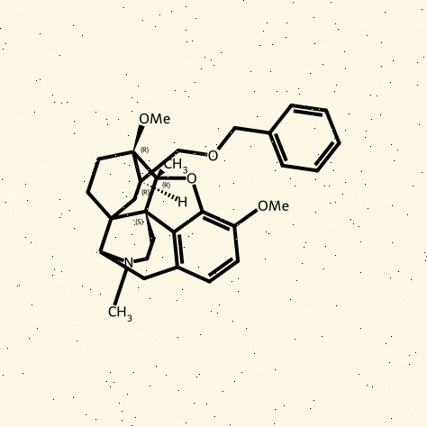 COc1ccc2c3c1O[C@@]1(C)[C@@]4(OC)CCC5(C[C@@H]4COCc4ccccc4)C(C2)N(C)CC[C@@]351